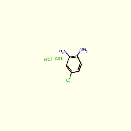 Cl.Cl.Nc1ccc(Cl)cc1N